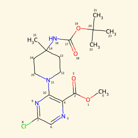 COC(=O)c1ncc(Cl)nc1N1CCC(C)(NC(=O)OC(C)(C)C)CC1